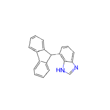 c1ccc2c(c1)-c1ccccc1C2c1cccc2nc[nH]c12